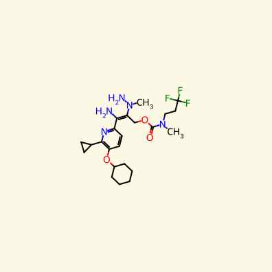 CN(CCC(F)(F)F)C(=O)OC/C(=C(/N)c1ccc(OC2CCCCC2)c(C2CC2)n1)N(C)N